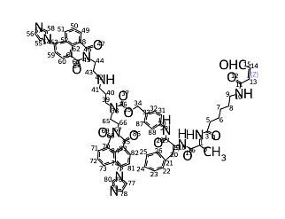 CC(NC(=O)CCCCCNC(=O)/C=C\C=O)C(=O)N[C@@H](Cc1ccccc1)C(=O)Nc1ccc(COC(=O)N(CCCNCCN2C(=O)c3cccc4c(-n5ccnc5)ccc(c34)C2=O)CCN2C(=O)c3cccc4c(-n5ccnc5)ccc(c34)C2=O)cc1